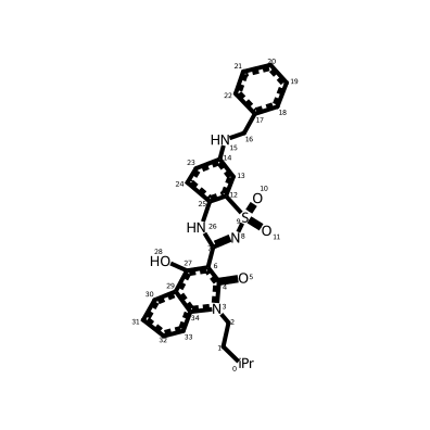 CC(C)CCn1c(=O)c(C2=NS(=O)(=O)c3cc(NCc4ccccc4)ccc3N2)c(O)c2ccccc21